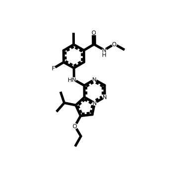 CCOc1cn2ncnc(Nc3cc(C(=O)NOC)c(C)cc3F)c2c1C(C)C